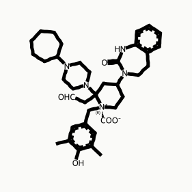 Cc1cc(C[N@+]2(C(=O)[O-])CCC(N3CCc4ccccc4NC3=O)CC2(CC=O)N2CCN(C3CCCCCC3)CC2)cc(C)c1O